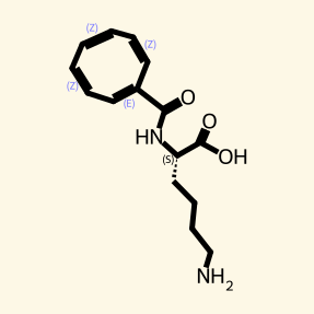 NCCCC[C@H](NC(=O)C1=C/C=C\C=C/C=C\1)C(=O)O